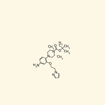 C[C@@H]1CN(c2ccc(N)cc2OCCn2cccn2)C[C@H](C)N1C(=O)OC(C)(C)C